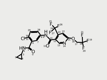 O=C(NC1CC1)c1cc(NC(=O)c2cnc(OCC(F)(F)F)cc2C(F)(F)F)ccc1Cl